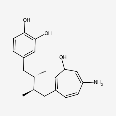 C[C@H](CC1=CC(O)C=C(N)C=C1)[C@@H](C)Cc1ccc(O)c(O)c1